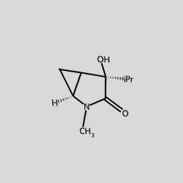 CC(C)[C@]1(O)C(=O)N(C)[C@H]2CC21